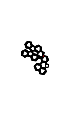 c1ccc2c(c1)-c1ccc(-c3cccc4c3-c3cccc5cccc(c35)O4)cc1C21c2ccccc2-c2ccc3ccccc3c21